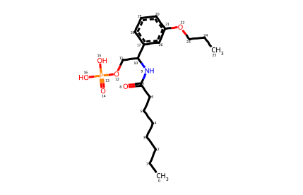 CCCCCCCC(=O)NC(COP(=O)(O)O)c1cccc(OCCC)c1